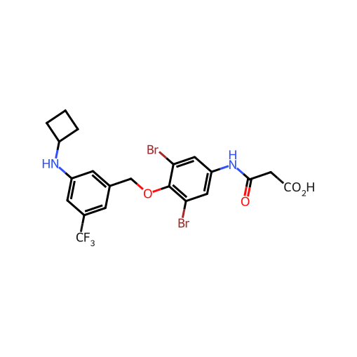 O=C(O)CC(=O)Nc1cc(Br)c(OCc2cc(NC3CCC3)cc(C(F)(F)F)c2)c(Br)c1